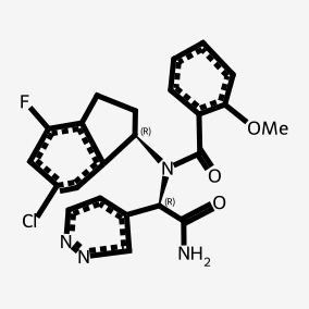 COc1ccccc1C(=O)N([C@@H]1CCc2c(F)cc(Cl)cc21)[C@@H](C(N)=O)c1ccnnc1